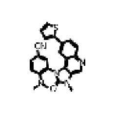 CN(C)c1ccc(C#N)cc1-n1c(=O)n(C)c2cnc3ccc(-c4cccs4)cc3c21